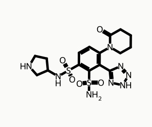 NS(=O)(=O)c1c(S(=O)(=O)NC2CCNC2)ccc(N2CCCCC2=O)c1-c1nn[nH]n1